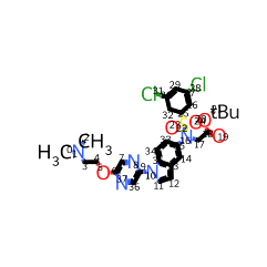 CN(C)CCOc1cnc(-n2ccc3cc(N(CC(=O)OC(C)(C)C)S(=O)(=O)C4C=C(Cl)C=C(Cl)C4)ccc32)cn1